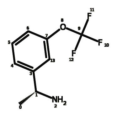 C[C@@H](N)c1cccc(OC(F)(F)F)c1